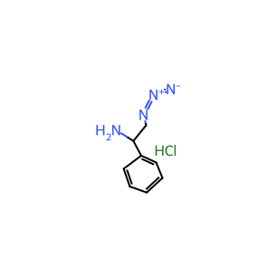 Cl.[N-]=[N+]=NCC(N)c1ccccc1